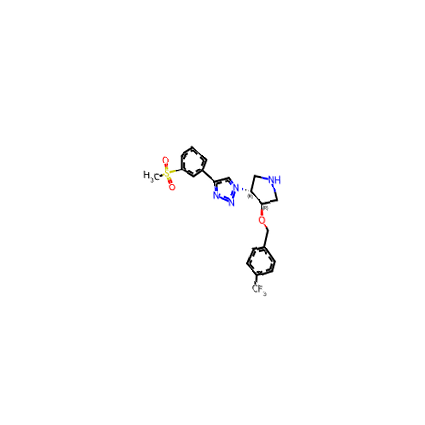 CS(=O)(=O)c1cccc(-c2cn([C@@H]3CNC[C@H]3OCc3ccc(C(F)(F)F)cc3)nn2)c1